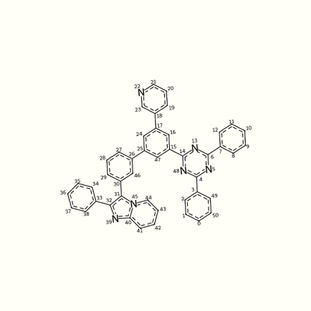 c1ccc(-c2nc(-c3ccccc3)nc(-c3cc(-c4cccnc4)cc(-c4cccc(-c5c(-c6ccccc6)nc6ccccn56)c4)c3)n2)cc1